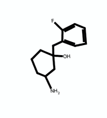 NC1CCCC(O)(Cc2ccccc2F)C1